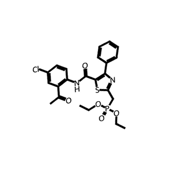 CCOP(=O)(Cc1nc(-c2ccccc2)c(C(=O)Nc2ccc(Cl)cc2C(C)=O)s1)OCC